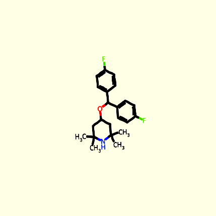 CC1(C)CC(OC(c2ccc(F)cc2)c2ccc(F)cc2)CC(C)(C)N1